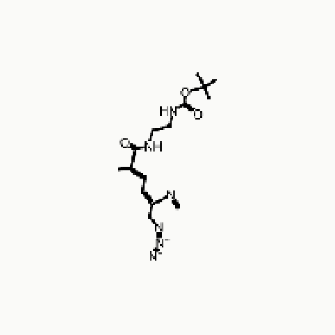 C=N/C(=C\C=C(/C)C(=O)NCCNC(=O)OC(C)(C)C)CN=[N+]=[N-]